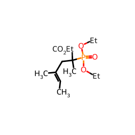 CC=C(C)CC(C)(C(=O)OCC)P(=O)(OCC)OCC